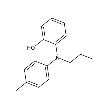 CCCN(c1ccc(C)cc1)c1ccccc1O